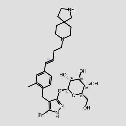 Cc1cc(/C=C/CCN2CCC3(CCNC3)CC2)ccc1Cc1c(O[C@@H]2O[C@H](CO)[C@@H](O)[C@H](O)[C@H]2O)n[nH]c1C(C)C